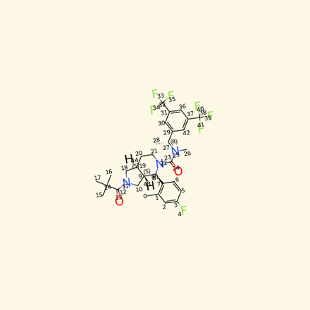 Cc1cc(F)ccc1[C@H]1[C@@H]2CN(C(=O)C(C)(C)C)C[C@H]2CCN1C(=O)N(C)[C@H](C)c1cc(C(F)(F)F)cc(C(F)(F)F)c1